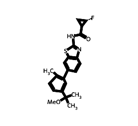 COC(C)(C)c1ccc(C)c(-c2ccc3nc(NC(=O)C4C[C@@H]4F)sc3c2)c1